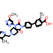 COc1cc(N2C(=O)N(c3ccc(-c4ccc(C(=O)O)c(C)c4)cc3)C(=O)C23CCN(Cc2ncccc2C)CC3)ncn1